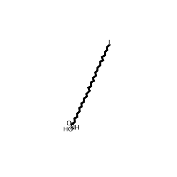 O=C(CCCCCCCCCCCCCCCCCCCCCCCCCCCCCCCI)NO